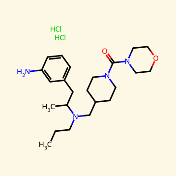 CCCN(CC1CCN(C(=O)N2CCOCC2)CC1)C(C)Cc1cccc(N)c1.Cl.Cl